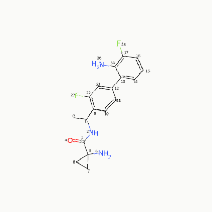 CC(NC(=O)C1(N)CC1)c1ccc(-c2cccc(F)c2N)cc1F